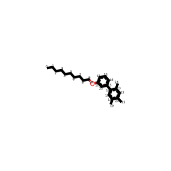 CCCCCCCCCCOc1cccc(-c2cc(C)c(C)cc2C)c1